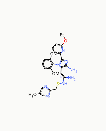 CCOc1cccc(-c2nc(N)c(/C=C(\N)NSCc3ncc(C)cn3)n2-c2c(OC)cccc2OC)n1